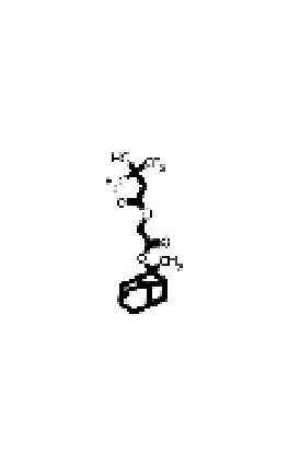 CC1(OC(=O)COC(=O)CC(O)(C(F)(F)F)C(F)(F)F)C2CC3CC(C2)CC1C3